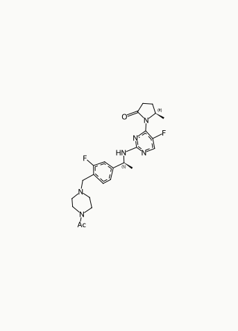 CC(=O)N1CCN(Cc2ccc([C@H](C)Nc3ncc(F)c(N4C(=O)CC[C@H]4C)n3)cc2F)CC1